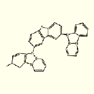 CC1C=CC2=C(C1)N1C=CC=CB1N2c1ccc2sc3ccc(N4B5C=CC=CN5c5ccccc54)cc3c2c1